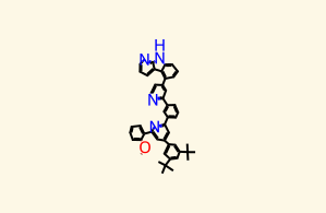 COc1ccccc1-c1cc(-c2cc(C(C)(C)C)cc(C(C)(C)C)c2)cc(-c2cccc(-c3cc(-c4cccc5[nH]c6ncccc6c45)ccn3)c2)n1